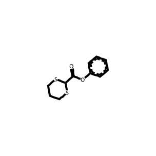 O=C(Oc1ccccc1)C1SCCCS1